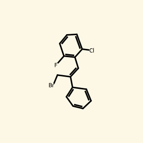 Fc1cccc(Cl)c1/C=C(\CBr)c1ccccc1